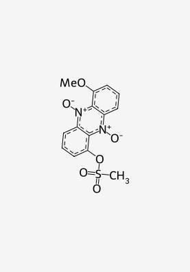 COc1cccc2c1[n+]([O-])c1cccc(OS(C)(=O)=O)c1[n+]2[O-]